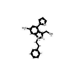 Cc1cc(-c2ccco2)c2c(CO)nn(CCc3ccccc3)c2c1